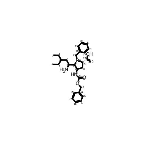 CCC(CC)CC(N)C1C(NC(=O)OCc2ccccc2)C[C@@H](C(=O)O)N1Cc1ccccc1